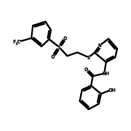 O=C(Nc1cccnc1SCCS(=O)(=O)c1cccc(C(F)(F)F)c1)c1ccccc1O